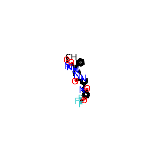 COc1nnc([C@@H](c2ccccc2)N2CCN(C(=O)c3cc(-c4nc5cc(OC(F)(F)F)ccc5o4)ccn3)CC2)o1